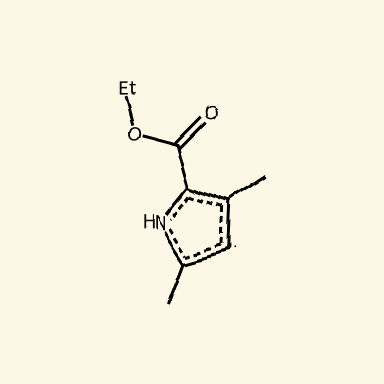 CCOC(=O)c1[nH]c(C)[c]c1C